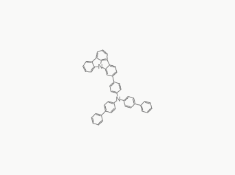 c1ccc(-c2ccc(N(c3ccc(-c4ccccc4)cc3)c3ccc(-c4ccc5c6cccc7c8ccccc8n(c5c4)c76)cc3)cc2)cc1